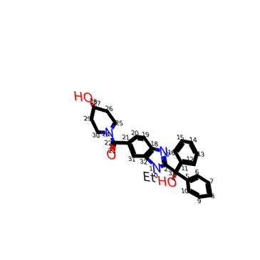 CCn1c(C(O)(c2ccccc2)c2ccccc2)nc2ccc(C(=O)N3CCC(O)CC3)cc21